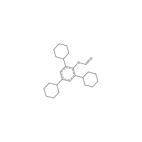 O=COc1c(C2CCCCC2)cc(C2CCCCC2)cc1C1CCCCC1